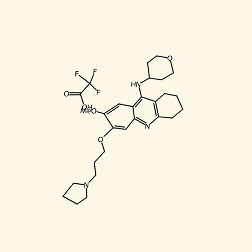 COc1cc2c(NC3CCOCC3)c3c(nc2cc1OCCCN1CCCC1)CCCC3.O=C(O)C(F)(F)F